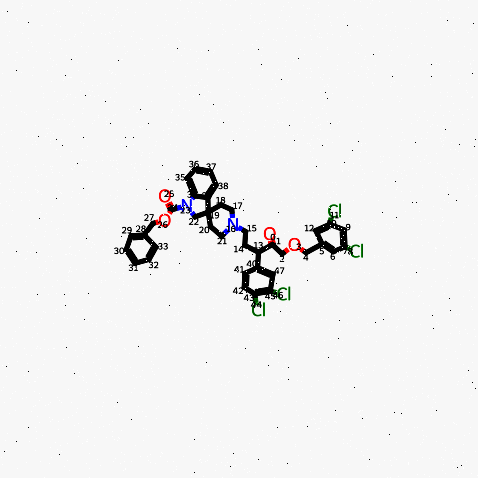 O=C(COCc1cc(Cl)cc(Cl)c1)C(CCN1CCC2(CC1)CN(C(=O)OCc1ccccc1)c1ccccc12)c1ccc(Cl)c(Cl)c1